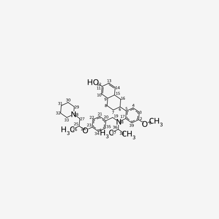 COc1ccc(C2CCC3C=C(O)C=CC3C2)c(N(Cc2ccc(OC(C)CN3CCCCC3)cc2)C(C)C)c1